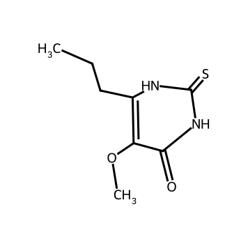 CCCc1[nH]c(=S)[nH]c(=O)c1OC